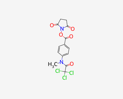 CN(C(=O)C(Cl)(Cl)Cl)c1ccc(C(=O)ON2C(=O)CCC2=O)cc1